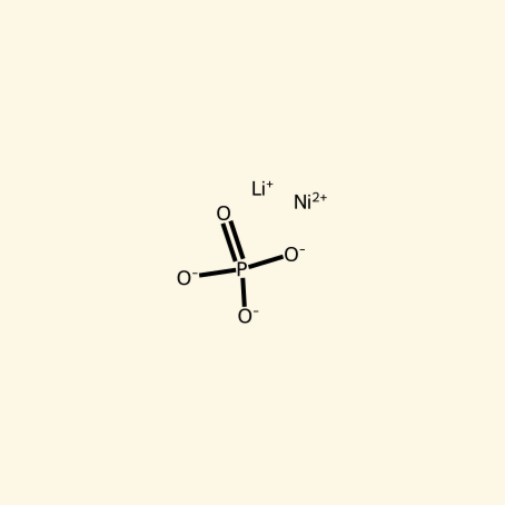 O=P([O-])([O-])[O-].[Li+].[Ni+2]